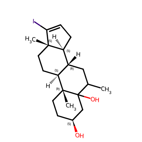 CC1C[C@H]2[C@@H]3CC=C(I)[C@@]3(C)CC[C@@H]2[C@@]2(C)CC[C@H](O)CC12O